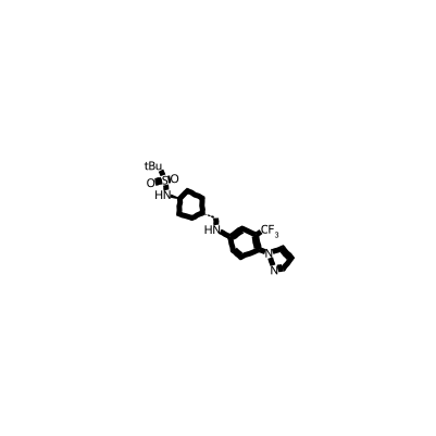 CC(C)(C)S(=O)(=O)N[C@H]1CC[C@H](CNc2ccc(-n3cccn3)c(C(F)(F)F)c2)CC1